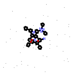 N#Cc1cccc(-c2cc(-c3cc(-c4nc(-c5ccccc5)nc(-c5ccccc5)n4)ccc3-n3c4ccc(-c5ccccc5)cc4c4cc(-c5ccccc5)ccc43)ccc2-n2c3ccc(-c4ccccc4)cc3c3cc(-c4ccccc4)ccc32)c1